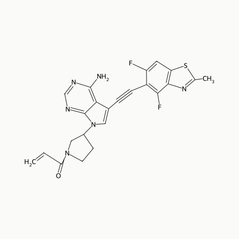 C=CC(=O)N1CCC(n2cc(C#Cc3c(F)cc4sc(C)nc4c3F)c3c(N)ncnc32)C1